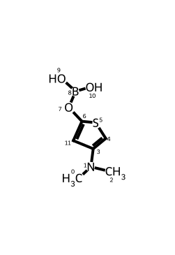 CN(C)c1csc(OB(O)O)c1